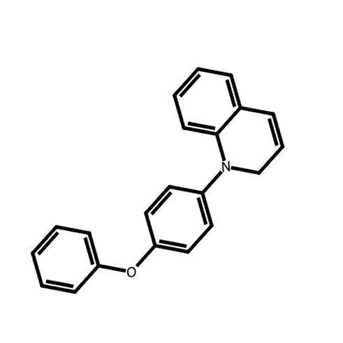 C1=Cc2ccccc2N(c2ccc(Oc3ccccc3)cc2)C1